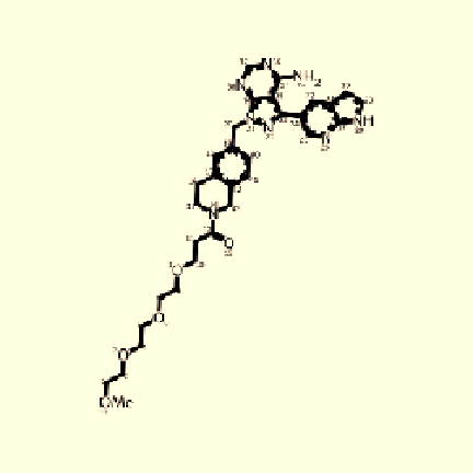 COCCOCCOCCOCCC(=O)N1CCc2cc(Cn3nc(-c4cnc5[nH]ccc5c4)c4c(N)ncnc43)ccc2C1